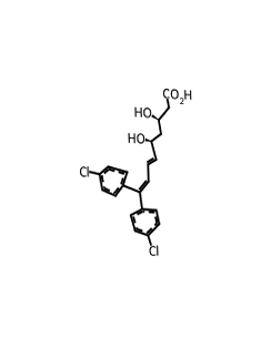 O=C(O)C[C@H](O)C[C@H](O)/C=C/C=C(c1ccc(Cl)cc1)c1ccc(Cl)cc1